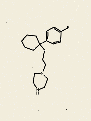 Fc1ccc(C2(CCCN3CCNCC3)CCCCC2)cc1